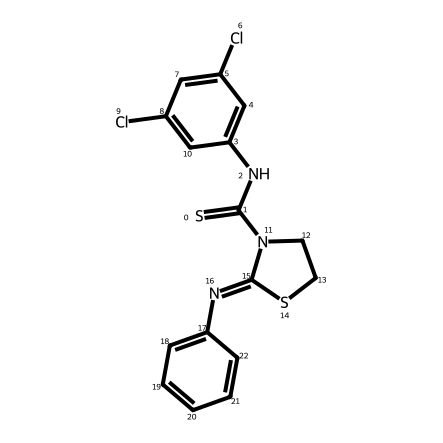 S=C(Nc1cc(Cl)cc(Cl)c1)N1CCSC1=Nc1ccccc1